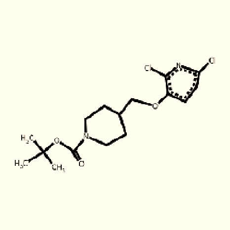 CC(C)(C)OC(=O)N1CCC(COc2ccc(Cl)nc2Cl)CC1